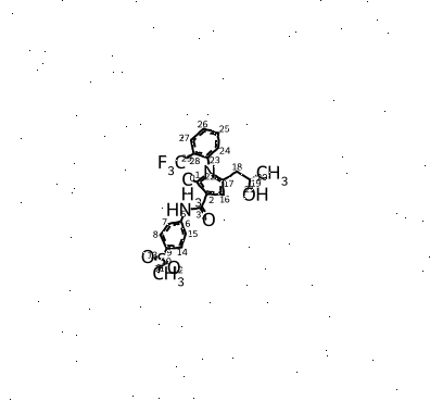 Cc1c(C(=O)Nc2ccc(S(C)(=O)=O)cc2)cc(C[C@H](C)O)n1-c1ccccc1C(F)(F)F